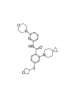 O=C(Nc1cccc(N2CCOCC2)n1)c1ccc(SC2COC2)cc1N1CCC2(CC1)CC2